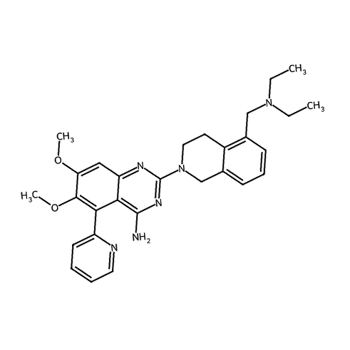 CCN(CC)Cc1cccc2c1CCN(c1nc(N)c3c(-c4ccccn4)c(OC)c(OC)cc3n1)C2